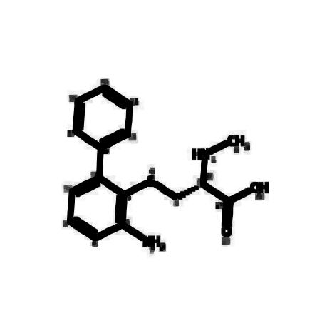 CN[C@@H](CSc1c(N)cccc1-c1ccccc1)C(=O)O